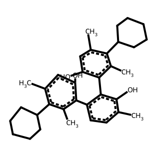 Cc1ccc(-c2c(O)cc(C)c(C3CCCCC3)c2C)c(-c2c(O)cc(C)c(C3CCCCC3)c2C)c1O